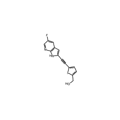 OCc1ccc(C#Cc2cc3cc(F)cnc3[nH]2)s1